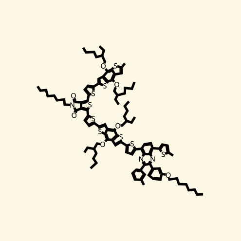 CCCCCCCCOc1cccc(-c2nc3c(-c4ccc(C)s4)ccc(-c4ccc(-c5cc6c(OCC(CC)CCCC)c7sc(-c8ccc(-c9sc(-c%10ccc(-c%11cc%12c(OCC(CC)CCCC)c%13sc(C)cc%13c(OCC(CC)CCCC)c%12s%11)s%10)c%10c9C(=O)N(CCCCCCCC)C%10=O)s8)cc7c(OCC(CC)CCCC)c6s5)s4)c3nc2-c2cccc(C)c2)c1